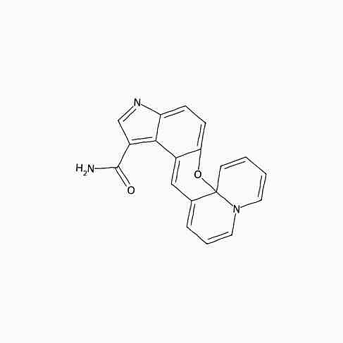 NC(=O)C1=c2c(ccc3c2=CC2=CC=CN4C=CC=CC24O3)N=C1